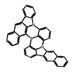 c1cc2c3c(c1)-n1c4ccccc4c4cc5ccccc5c(c41)B3c1cccc3c4cc5ccccc5cc4n-2c13